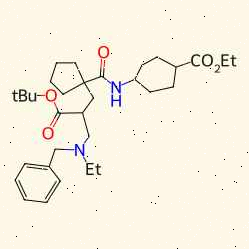 CCOC(=O)C1CCC(NC(=O)C2(CC(CN(CC)Cc3ccccc3)C(=O)OC(C)(C)C)CCCC2)CC1